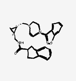 O=C(NC[C@H]1C[C@@H]1CN1CCN(c2nsc3ccccc23)CC1)C1CCc2ccccc2C1